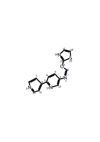 C(=N/c1ccc(-c2ccncc2)nc1)/Oc1nccs1